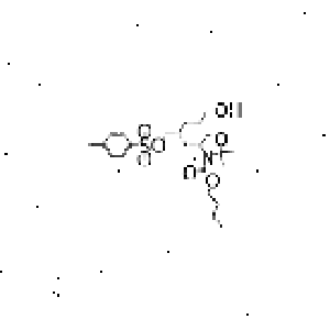 CCCCOC(=O)N1C(CC(CCCO)COS(=O)(=O)c2ccc(C)cc2)COC1(C)C